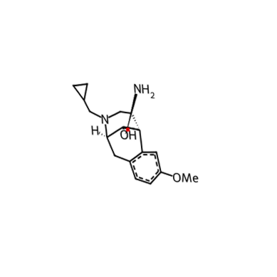 COc1ccc2c(c1)[C@@]13CCN(CC4CC4)[C@H](C2)[C@]1(O)C[C@H](N)C3